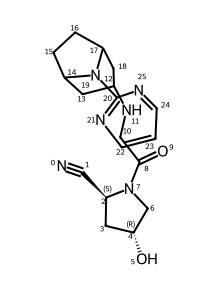 N#C[C@@H]1C[C@@H](O)CN1C(=O)CNC1CC2CCC(C1)N2c1ncccn1